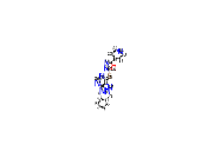 Cc1ccccc1Cn1nnc2c(Sc3nnc(-c4ccncc4)o3)ncnc21